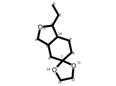 CCC1OCC2CC3(CCC21)OCCO3